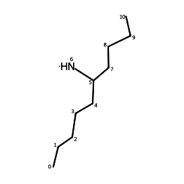 CCCCCC([NH])CCCC